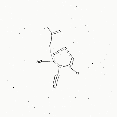 C=C(C)Cc1ccc(Cl)c(C#N)c1O